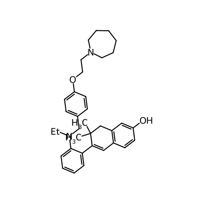 CCN(Cc1ccc(OCCN2CCCCCC2)cc1)c1ccccc1C1=Cc2ccc(O)cc2CC1(C)C